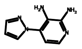 Nc1nccc(-n2cccn2)c1N